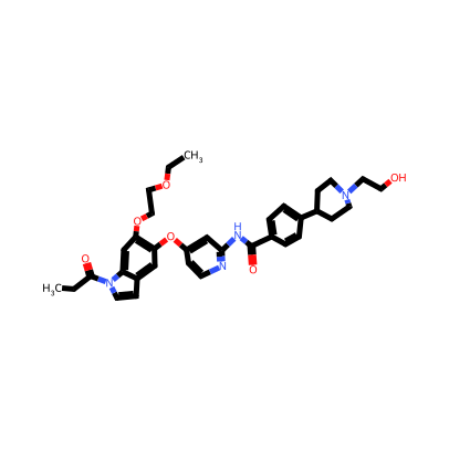 CCOCCOc1cc2c(ccn2C(=O)CC)cc1Oc1ccnc(NC(=O)c2ccc(C3CCN(CCO)CC3)cc2)c1